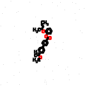 CCCC(C)Oc1ccccc1OC(=O)c1ccc(-c2ccc(C(C)OC)cc2)cc1